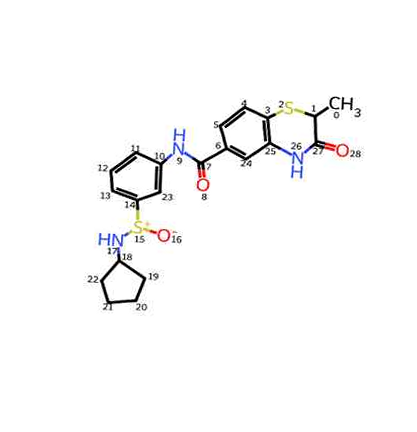 CC1Sc2ccc(C(=O)Nc3cccc([S+]([O-])NC4CCCC4)c3)cc2NC1=O